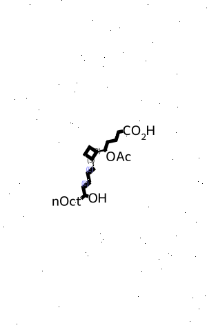 CCCCCCCCC(O)/C=C/C=C/[C@@H]1CC[C@H]1C(CCCC(=O)O)OC(C)=O